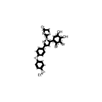 CCOc1ccc(Oc2ccc(C3=NN(C4=NC(=O)CS4)C(c4cc(O)c(O)c(Br)c4Br)C3)cc2)cc1